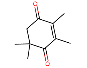 CC1=C(C)C(=O)C(C)(C)CC1=O